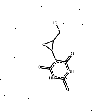 O=c1[nH]c(=O)n(C2OC2CO)c(=O)[nH]1